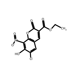 CCOC(=O)c1cc2cc(Cl)c(O)c([N+](=O)[O-])c2oc1=O